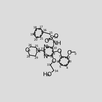 COc1ccccc1Oc1c(NS(=O)(=O)Cc2ccccc2)nc(N2CCOCC2)nc1OCCO